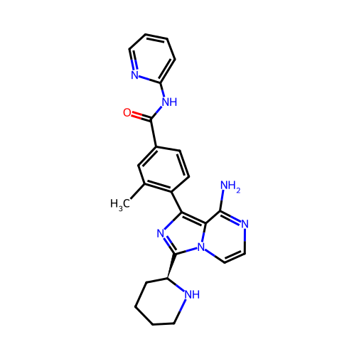 Cc1cc(C(=O)Nc2ccccn2)ccc1-c1nc([C@@H]2CCCCN2)n2ccnc(N)c12